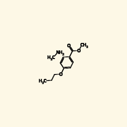 CCCOc1ccc(C(=O)OC)cc1.CN